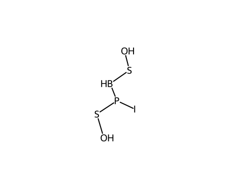 OSBP(I)SO